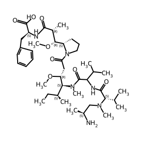 CC[C@H](C)[C@@H]([C@@H](CC(=O)N1CCC[C@H]1[C@H](OC)[C@@H](C)C(=O)N[C@@H](Cc1ccccc1)C(=O)O)OC)N(C)C(=O)C(NC(=O)[C@H](C(C)C)N(C)C[C@H](C)N)C(C)C